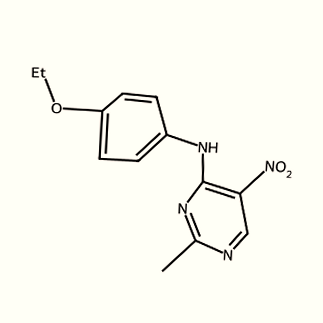 CCOc1ccc(Nc2nc(C)ncc2[N+](=O)[O-])cc1